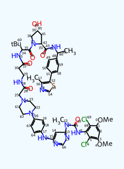 COc1cc(OC)c(Cl)c(NC(=O)N(C)c2cc(Nc3ccc(N4CCN(CC(=O)NCCC(=O)NC(C(=O)N5C[C@H](O)C[C@H]5C(=O)NC(C)c5ccc(-c6scnc6C)cc5)C(C)(C)C)CC4)cc3)ncn2)c1Cl